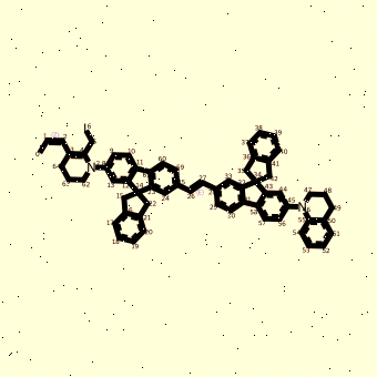 C/C=C\C1=C(CI)N(c2ccc3c(c2)C2(Cc4ccccc4C2)c2cc(/C=C/c4ccc5c(c4)C4(Cc6ccccc6C4)c4cc(N6CCCc7ccccc76)ccc4-5)ccc2-3)CCC1